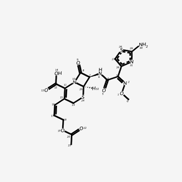 CO/N=C(\C(=O)N[C@@H]1C(=O)N2C(C(=O)O)=C(/C=C\COC(C)=O)CS[C@H]12)c1csc(N)n1